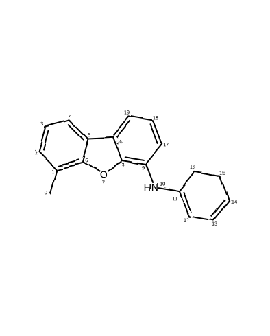 Cc1cccc2c1oc1c(NC3=CC=CCC3)cccc12